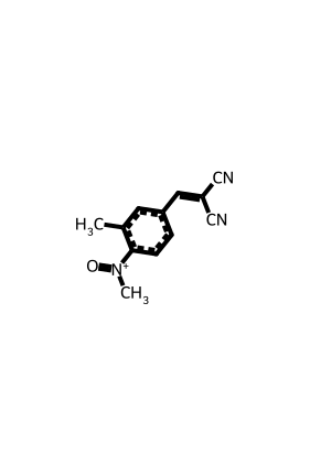 Cc1cc(C=C(C#N)C#N)ccc1[N+](C)=O